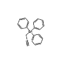 C#C[CH2][Sn]([c]1ccccc1)([c]1ccccc1)[c]1ccccc1